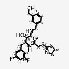 CCc1cccc(CNC[C@H](O)[C@H](Cc2cc(F)cc(F)c2)NC(=O)CSC2=NCCS2)c1